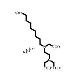 CCCCCCCCCCCCCCCCCCN(CCN(CC(=O)[O-])CC(=O)[O-])CC(=O)[O-].[Na+].[Na+].[Na+]